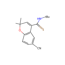 CC(C)(C)NC(=S)C1=CC(C)(C)Oc2ccc(C#N)cc21